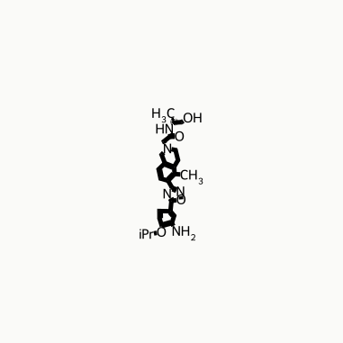 Cc1c(-c2noc(-c3ccc(OC(C)C)c(N)c3)n2)ccc2c1CCN(CC(=O)N[C@@H](C)CO)C2